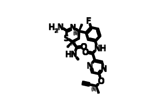 C#C[C@H](C)Oc1cnc(C(=O)Nc2ccc(F)c([C@]3(C)C[C@](C)(C(=O)NC)SC(N)=N3)c2)cn1